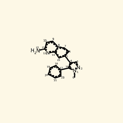 Cn1ncc(-c2ccc3ccc(N)nc3c2)c1-c1ccccc1